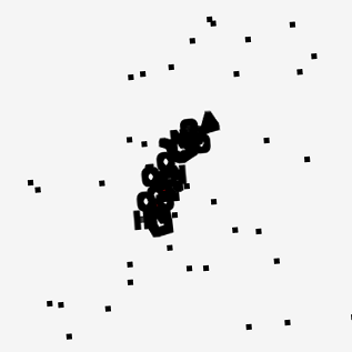 COc1c(Oc2ccc(S(=O)(=O)C3CC3)nc2C)ncnc1O[C@H]1CC2CC[C@@H](C1)N2C(=O)OC(C)C